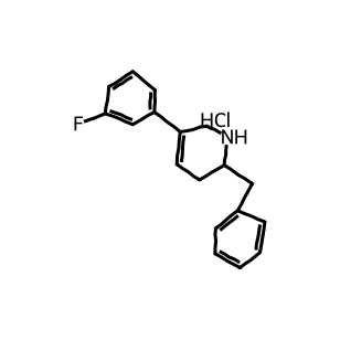 Cl.Fc1cccc(C2=CCC(Cc3ccccc3)NC2)c1